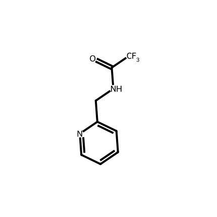 O=C(NCc1ccccn1)C(F)(F)F